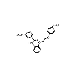 COc1cccc(C(=O)Nc2ccccc2OCCOc2ccc(C(=O)O)cc2)c1